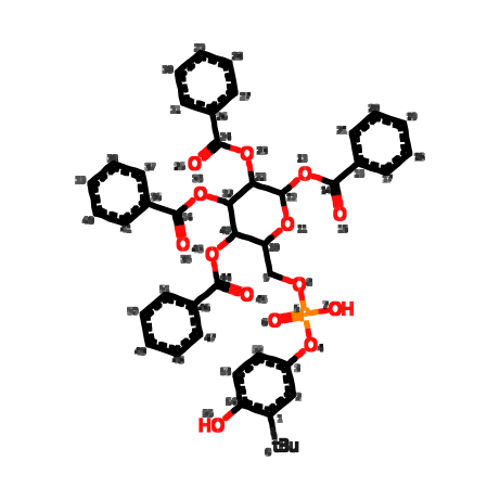 CC(C)(C)c1cc(OP(=O)(O)OCC2OC(OC(=O)c3ccccc3)C(OC(=O)c3ccccc3)C(OC(=O)c3ccccc3)C2OC(=O)c2ccccc2)ccc1O